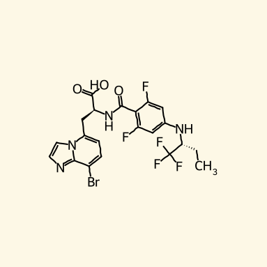 CC[C@@H](Nc1cc(F)c(C(=O)N[C@@H](Cc2ccc(Br)c3nccn23)C(=O)O)c(F)c1)C(F)(F)F